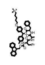 Cc1ccc(C(OC(=O)C(Cc2ccccc2)NC(=O)C(C)NC(=O)C(CC(C)C)NC(=O)OCC2c3ccccc3-c3ccccc32)c2ccc(OCCCCC[N+](C)(C)C)cc2)cc1